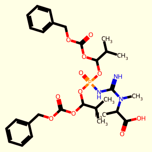 CC(C)C(OC(=O)OCc1ccccc1)OP(=O)(NC(=N)N(C)C(C)C(=O)O)OC(OC(=O)OCc1ccccc1)C(C)C